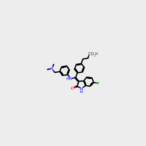 CN(C)Cc1cccc(N/C(=C2\C(=O)Nc3cc(F)ccc32)c2ccc(CCC(=O)O)cc2)c1